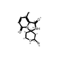 Cc1ccc(=O)n2c1C(=O)NC21CCOC(Br)C1